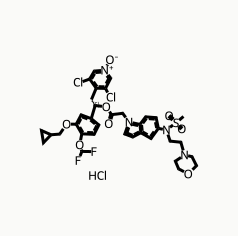 CS(=O)(=O)N(CCN1CCOCC1)c1ccc2c(ccn2CC(=O)O[C@@H](Cc2c(Cl)c[n+]([O-])cc2Cl)c2ccc(OC(F)F)c(OCC3CC3)c2)c1.Cl